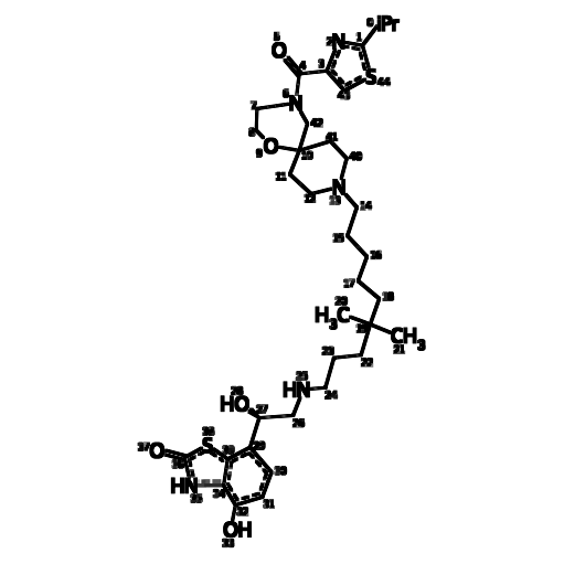 CC(C)c1nc(C(=O)N2CCOC3(CCN(CCCCCC(C)(C)CCCNC[C@H](O)c4ccc(O)c5[nH]c(=O)sc45)CC3)C2)cs1